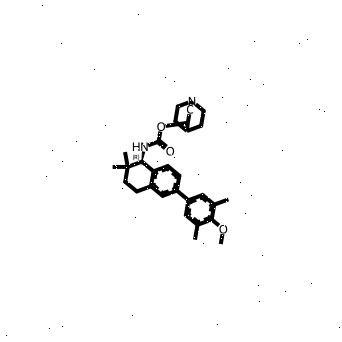 COc1c(C)cc(-c2ccc3c(c2)CCC(C)(C)[C@H]3NC(=O)OC2CN3CCC2CC3)cc1C